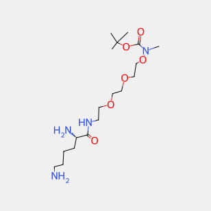 CN(OCCOCCOCCNC(=O)[C@H](N)CCCCN)C(=O)OC(C)(C)C